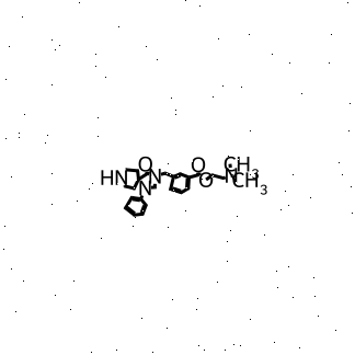 CN(C)CCOC(=O)c1cccc(CN2CN(c3ccccc3)C3(CCNCC3)C2=O)c1